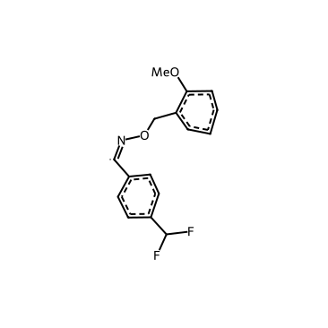 COc1ccccc1CO/N=[C]\c1ccc(C(F)F)cc1